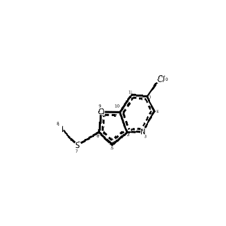 Clc1cnc2cc(SI)oc2c1